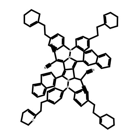 N#CC(C#N)=c1c2c(c(-c3ccc4ccccc4c3)n1P(c1ccc(CCC3=CCCCC3)cc1)c1ccc(CCC3=CCCCC3)cc1)C(C(C#N)C#N)N(P(c1ccc(CCC3=CCCCC3)cc1)c1ccc(CCC3=CCCCC3)cc1)C=2c1ccc2ccccc2c1